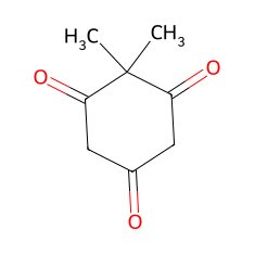 CC1(C)C(=O)CC(=O)CC1=O